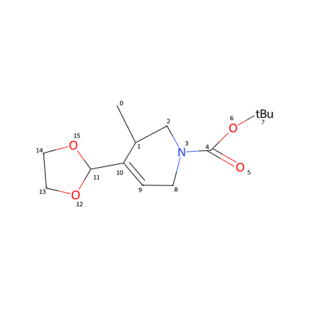 CC1CN(C(=O)OC(C)(C)C)CC=C1C1OCCO1